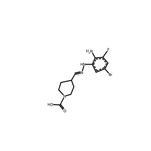 Nc1c(F)cc(Br)cc1N/N=C/C1CCN(C(=O)O)CC1